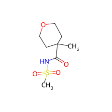 CC1(C(=O)NS(C)(=O)=O)CCOCC1